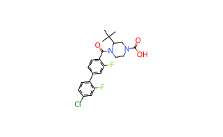 CC(C)(C)C1CN(C(=O)O)CCN1C(=O)c1ccc(-c2ccc(Cl)cc2F)cc1F